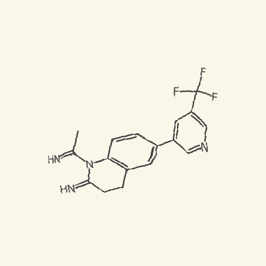 CC(=N)N1C(=N)CCc2cc(-c3cncc(C(F)(F)F)c3)ccc21